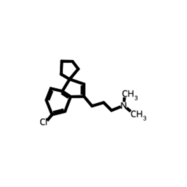 CN(C)CCCC1=CC2(CCCC2)c2ccc(Cl)cc21